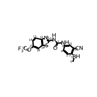 CBc1ccc(NC(=O)Nc2nc3ccc(OC(F)(F)F)cc3s2)cc1C#N